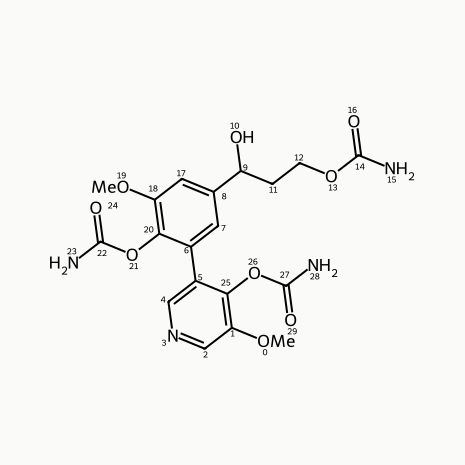 COc1cncc(-c2cc(C(O)CCOC(N)=O)cc(OC)c2OC(N)=O)c1OC(N)=O